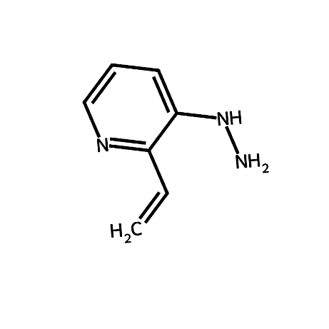 C=Cc1ncccc1NN